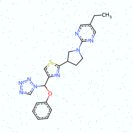 CCc1cnc(N2CCC(c3nc(C(Oc4ccccc4)n4cnnn4)cs3)C2)nc1